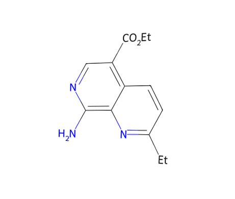 CCOC(=O)c1cnc(N)c2nc(CC)ccc12